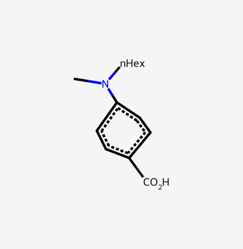 CCCCCCN(C)c1ccc(C(=O)O)cc1